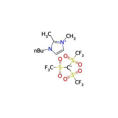 CCCCn1cc[n+](C)c1C.O=S(=O)([C-](S(=O)(=O)C(F)(F)F)S(=O)(=O)C(F)(F)F)C(F)(F)F